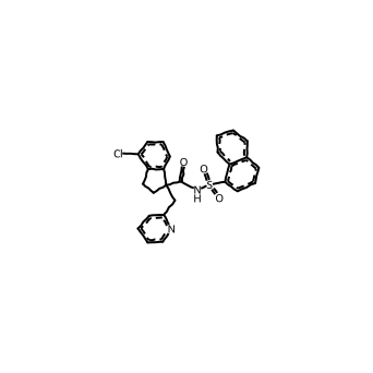 O=C(NS(=O)(=O)c1cccc2ccccc12)C1(Cc2ccccn2)CCc2c(Cl)cccc21